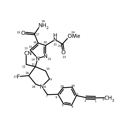 CC#Cc1ccc(CN2CCC(CC#N)(n3cc(C(N)=O)c(NC(=O)OC)n3)C(F)C2)cc1